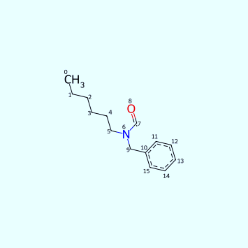 CCCCCCN([C]=O)Cc1ccccc1